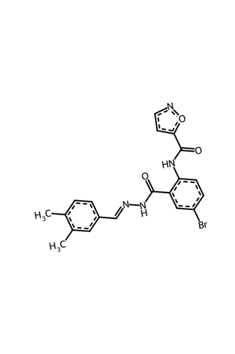 Cc1ccc(/C=N/NC(=O)c2cc(Br)ccc2NC(=O)c2ccno2)cc1C